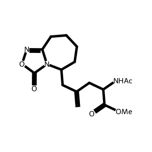 C=C(CC(NC(C)=O)C(=O)OC)CC1CCCCc2noc(=O)n21